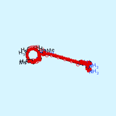 CO[C@H]1C[C@@H]2CCC[C@@](O)(O2)C(=O)C(=O)N2CCCC[C@H]2CO[C@H]([C@H](N)C[C@@H]2CC[C@@H](OC(=O)NCCOCCOCCOCCOCCOCCOCCOCCOCCC(=O)N3CCc4nc(Cn5nc(-c6ccc7oc(N)nc7c6)c6c(N)ncnc65)ncc4C3)[C@H](OC)C2)C[C@@H](O)[C@H](C)/C=C(\C)[C@@H](O)[C@@H](O)C(=O)[C@H](C)C[C@H](C)/C=C/C=C/C=C/1C